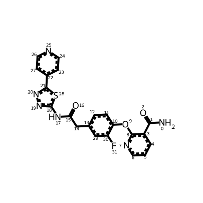 NC(=O)c1cccnc1Oc1ccc(CC(=O)Nc2nnc(-c3ccncc3)s2)cc1F